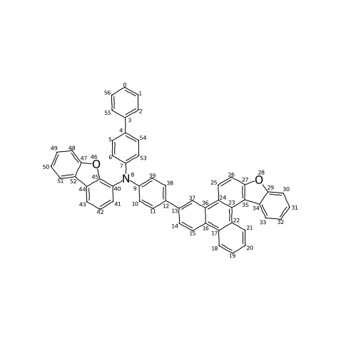 c1ccc(-c2ccc(N(c3ccc(-c4ccc5c6ccccc6c6c(ccc7oc8ccccc8c76)c5c4)cc3)c3cccc4c3oc3ccccc34)cc2)cc1